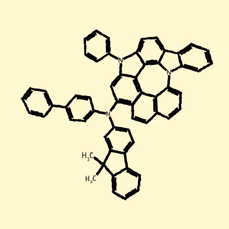 CC1(C)c2ccccc2-c2ccc(N(c3ccc(-c4ccccc4)cc3)c3cc4c5c6c3ccc3cccc(c36)n3c6ccccc6c6ccc(c5c63)n4-c3ccccc3)cc21